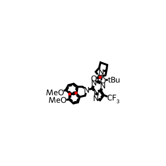 COc1ccc(CN(Cc2ccc(OC)cc2)c2nc(N3CC4CCC(C3)N4C(=O)OC(C)(C)C)nc3c(C(F)(F)F)cnn23)cc1